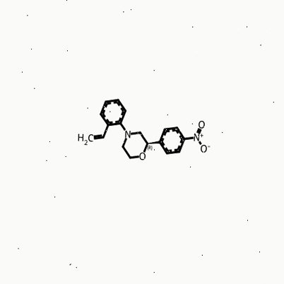 C=Cc1ccccc1N1CCO[C@H](c2ccc([N+](=O)[O-])cc2)C1